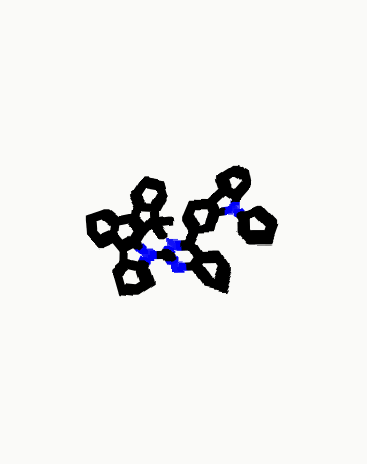 CC1(C)c2ccccc2-c2c1c1c(c3ccccc23)c2ccccc2n1-c1nc(-c2ccc3c4ccccc4n(-c4ccccc4)c3c2)c2ccccc2n1